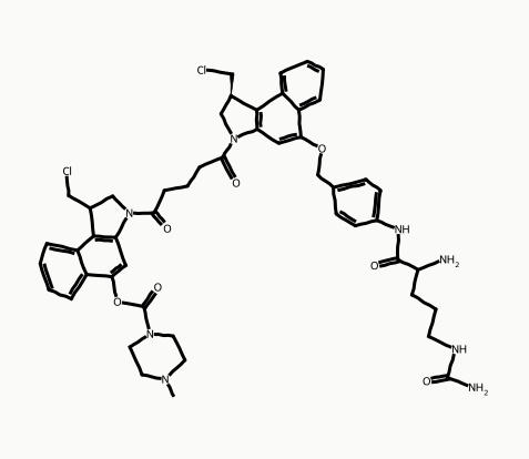 CN1CCN(C(=O)Oc2cc3c(c4ccccc24)C(CCl)CN3C(=O)CCCC(=O)N2C[C@@H](CCl)c3c2cc(OCc2ccc(NC(=O)C(N)CCCNC(N)=O)cc2)c2ccccc32)CC1